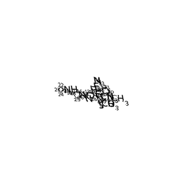 CN(C(=O)C(C)(C)N(C=S)Cc1ccc(N2CCC(CNC3CCC3)CC2)nc1)c1ccc(C#N)c(C(F)(F)F)c1